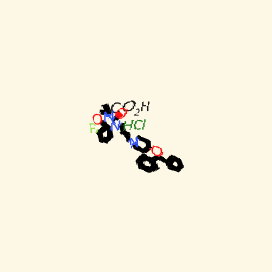 CC(C)(C(=O)O)n1c(=O)c2c(F)cccc2n(CCCCN2CCC(OC(c3ccccc3)c3ccccc3)CC2)c1=O.Cl